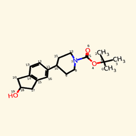 CC(C)(C)OC(=O)N1CCC(c2ccc3c(c2)CC(O)C3)CC1